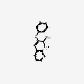 CC(C)(C)C(O)/C(=C\c1cccnc1)Oc1ccccc1